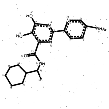 CC(=O)Nc1ccc(-c2nc(O)c(O)c(C(=O)NC(C)C3CCCCC3)n2)nc1